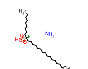 CCCCCCCCCCCCCCCCC(F)(CCCCCCCCC)S(=O)(=O)O.N